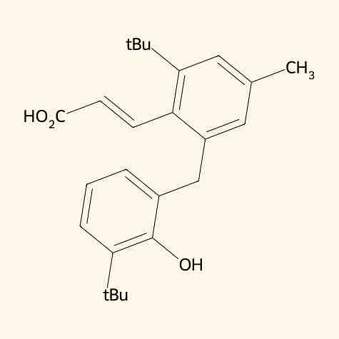 Cc1cc(Cc2cccc(C(C)(C)C)c2O)c(C=CC(=O)O)c(C(C)(C)C)c1